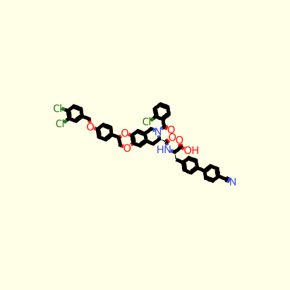 N#Cc1ccc(-c2ccc(C[C@H](NC(=O)[C@@H]3Cc4cc5c(cc4CN3C(=O)c3ccccc3Cl)OC(c3ccc(OCc4ccc(Cl)c(Cl)c4)cc3)CO5)C(=O)O)cc2)cc1